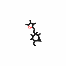 CCC1C(C)C(C)C(C)(CCC2OC(C)C(C)C2C)C(C)C2CC12